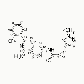 Cn1cc([C@@H]2C[C@H]2C(=O)Nc2cc3cc(-c4ccccc4Cl)nc(N)c3cn2)cn1